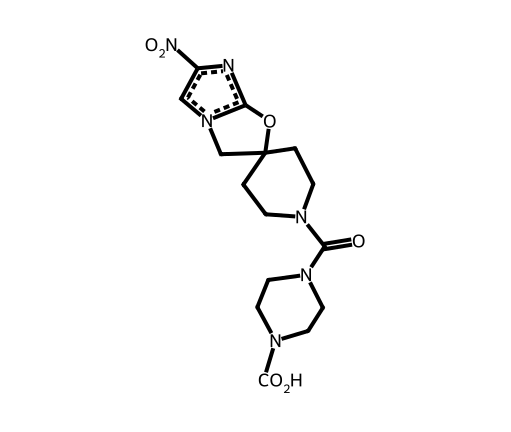 O=C(O)N1CCN(C(=O)N2CCC3(CC2)Cn2cc([N+](=O)[O-])nc2O3)CC1